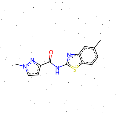 Cc1ccc2sc(NC(=O)c3ccn(C)n3)nc2c1